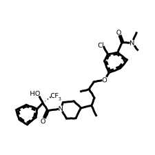 CC(COc1ccc(C(=O)N(C)C)c(Cl)c1)CC(C)C1CCN(C(=O)[C@](O)(c2ccccc2)C(F)(F)F)CC1